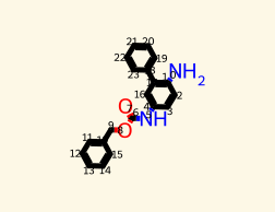 Nc1ccc(NC(=O)OCc2ccccc2)cc1-c1ccccc1